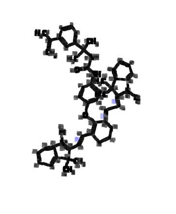 C=C(C)c1cccc(C(C)(C)NC(=O)Nc2ccc(OC3=C(/C=C/C4=[N+](CC)c5ccccc5C4(C)C)CCC/C3=C\C=C3\N(CC)c4ccccc4C3(C)C)cc2)c1